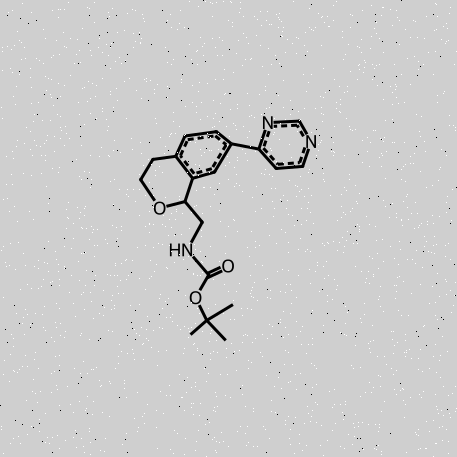 CC(C)(C)OC(=O)NCC1OCCc2ccc(-c3ccncn3)cc21